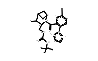 Cc1ccc(-n2nccn2)c(C(=O)N2C3CC(C3)C(C)C2CNC(=O)OC(C)(C)C)n1